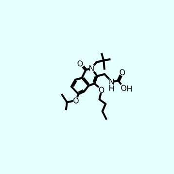 CCCCOc1c(CNC(=O)O)n(CC(C)(C)C)c(=O)c2ccc(OC(C)C)cc12